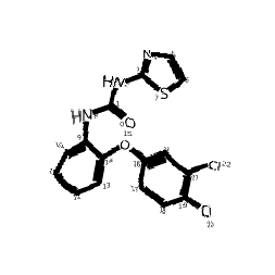 O=C(Nc1nccs1)Nc1ccccc1Oc1ccc(Cl)c(Cl)c1